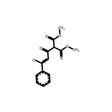 COC(=O)C(C(=O)/C=C(\Cl)c1ccccc1)C(=O)OC